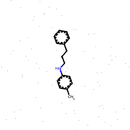 Cc1ccc(NCCCc2ccccc2)cc1